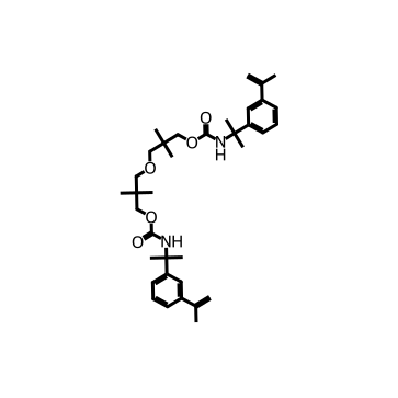 C=C(C)c1cccc(C(C)(C)NC(=O)OCC(C)(C)COCC(C)(C)COC(=O)NC(C)(C)c2cccc(C(=C)C)c2)c1